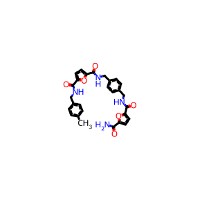 Cc1ccc(CNC(=O)c2ccc(C(=O)NCc3ccc(CNC(=O)c4ccc(C(N)=O)o4)cc3)o2)cc1